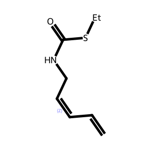 C=C/C=C\CNC(=O)SCC